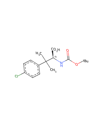 CC(C)(C)OC(=O)N[C@H](C(=O)O)C(C)(C)c1ccc(Cl)cc1